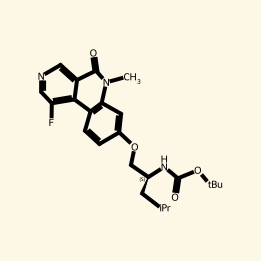 CC(C)C[C@@H](COc1ccc2c3c(F)cncc3c(=O)n(C)c2c1)NC(=O)OC(C)(C)C